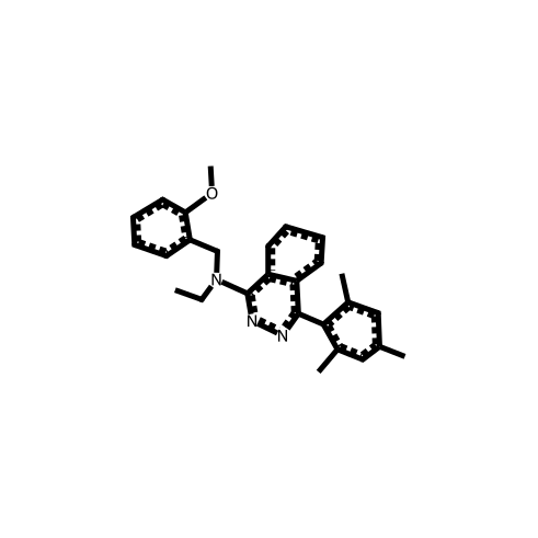 CCN(Cc1ccccc1OC)c1nnc(-c2c(C)cc(C)cc2C)c2ccccc12